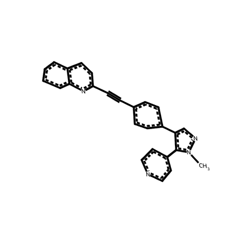 Cn1ncc(-c2ccc(C#Cc3ccc4ccccc4n3)cc2)c1-c1ccncc1